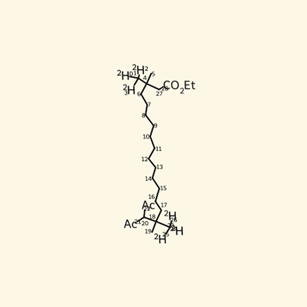 [2H]C([2H])([2H])C(C)(CCCCCCCCCCCCC(C)(C(C(C)=O)C(C)=O)C([2H])([2H])[2H])CC(=O)OCC